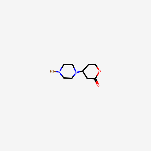 O=C1CC(N2CCN(S)CC2)CCO1